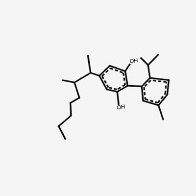 CCCCCC(C)C(C)c1cc(O)c(-c2cc(C)ccc2C(C)C)c(O)c1